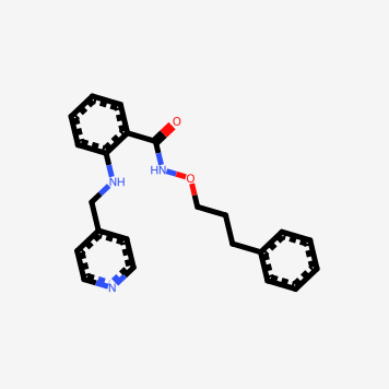 O=C(NOCCCc1ccccc1)c1ccccc1NCc1ccncc1